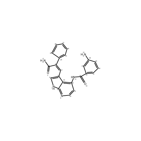 NC(=O)/C(=C\c1c[nH]c2nccc(NC(=O)c3cccc(N)c3)c12)c1ccccc1